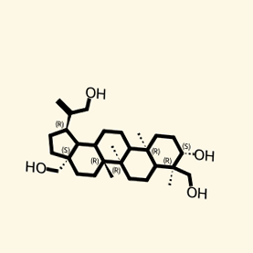 C=C(CO)[C@@H]1CC[C@]2(CO)CC[C@]3(C)C(CCC4[C@@]5(C)CC[C@H](O)[C@@](C)(CO)C5CC[C@]43C)C12